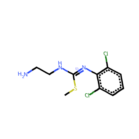 CS/C(=N\c1c(Cl)cccc1Cl)NCCN